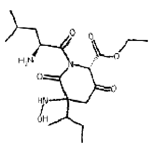 CCOC(=O)[C@@H]1C(=O)CC(NO)(C(C)CC)C(=O)N1C(=O)[C@@H](N)CC(C)C